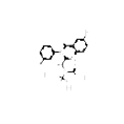 C[C@@H](c1nc2ccc(F)cc2c(=O)n1-c1cccc(Cl)c1)N(C(=O)O)C(C)(C)C